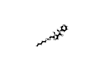 CCCCCO/N=C/c1ncc(C(=O)N(C)c2cccnc2)n1C